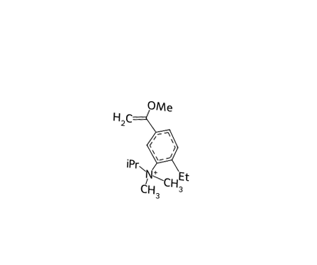 C=C(OC)c1ccc(CC)c([N+](C)(C)C(C)C)c1